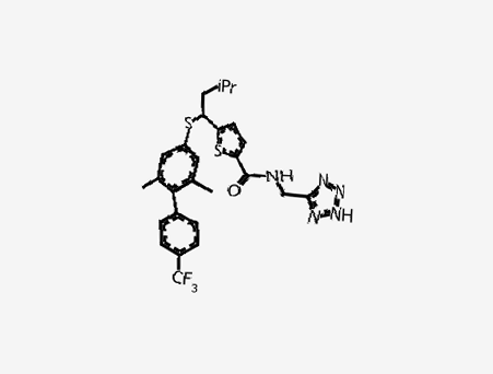 Cc1cc(SC(CC(C)C)c2ccc(C(=O)NCc3nn[nH]n3)s2)cc(C)c1-c1ccc(C(F)(F)F)cc1